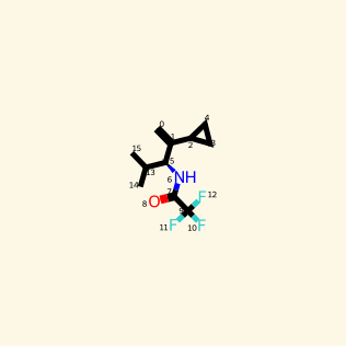 C=C(C1CC1)[C@@H](NC(=O)C(F)(F)F)C(C)C